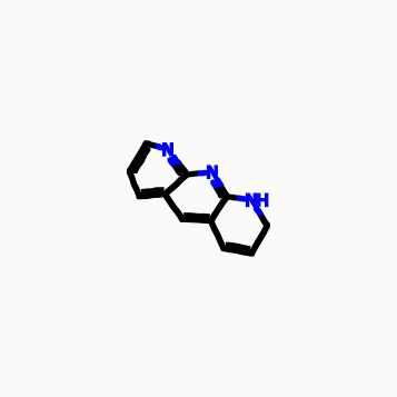 C1=Cc2cc3cccnc3nc2NC1